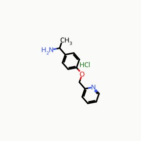 CC(N)c1ccc(OCc2ccccn2)cc1.Cl